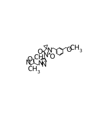 COCc1cccc(CN2C(=O)N(c3cnn(Cc4c(C)noc4C)c3)C(=O)C23CC3)c1